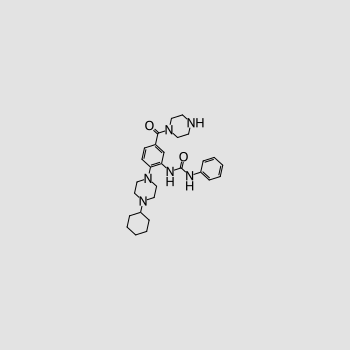 O=C(Nc1ccccc1)Nc1cc(C(=O)N2CCNCC2)ccc1N1CCN(C2CCCCC2)CC1